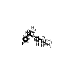 Cc1onc(-c2ccc(F)cc2)c1CNc1cc(C(=O)NC(C)C)[nH]n1